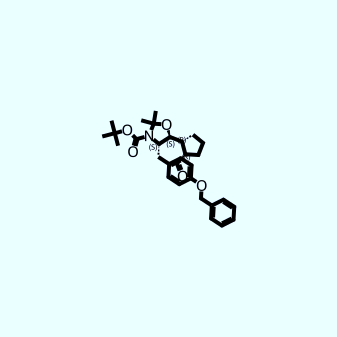 CC(C)(C)OC(=O)N1[C@@H](Cc2ccc(OCc3ccccc3)cc2)[C@H]([C@@H]2CCC[C@H]2C=O)OC1(C)C